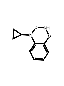 c1ccc2c(c1)o[nH]on2C1CC1